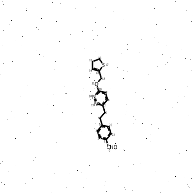 O=Cc1ccc(CCc2ccc(OCC3=CCCS3)nn2)cc1